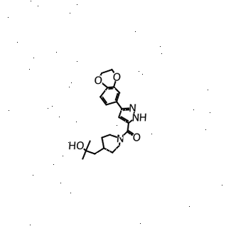 CC(C)(O)CC1CCN(C(=O)c2cc(-c3ccc4c(c3)OCCO4)n[nH]2)CC1